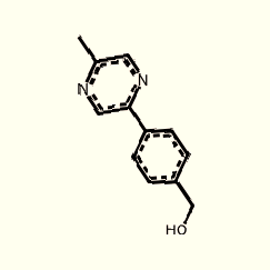 Cc1cnc(-c2ccc(CO)cc2)cn1